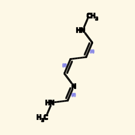 CN\C=C/C=C\N=C/NC